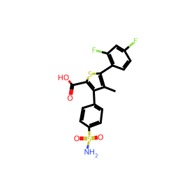 Cc1c(-c2ccc(F)cc2F)sc(C(=O)O)c1-c1ccc(S(N)(=O)=O)cc1